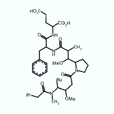 CCC(C)C(C(CC(=O)N1CCCC1C(OC)C(C)C(=O)NC(Cc1ccccc1)C(=O)NC(CCC(=O)O)C(=O)O)OC)N(C)C(=O)CC(C)C